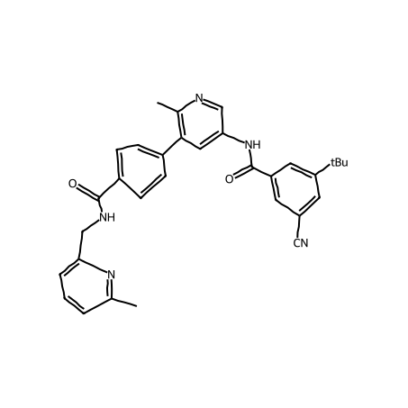 Cc1cccc(CNC(=O)c2ccc(-c3cc(NC(=O)c4cc(C#N)cc(C(C)(C)C)c4)cnc3C)cc2)n1